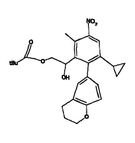 Cc1c([N+](=O)[O-])cc(C2CC2)c(-c2ccc3c(c2)CCCO3)c1C(O)COC(=O)C(C)(C)C